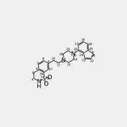 O=S1(=O)NCCc2ccc(CCN3CCN(c4cccc5sccc45)CC3)cc21